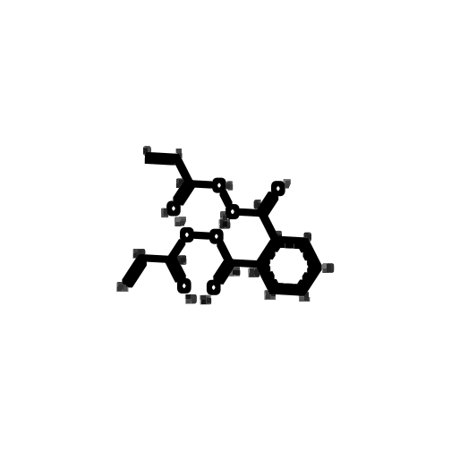 C=CC(=O)OOC(=O)c1ccccc1C(=O)OOC(=O)C=C